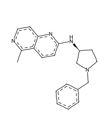 Cc1nccc2nc(N[C@H]3CCN(Cc4ccccc4)C3)ccc12